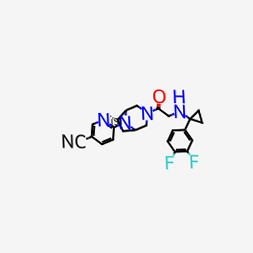 C[C@H]1CC2CN(C(=O)CNC3(c4ccc(F)c(F)c4)CC3)CC1N2c1ccc(C#N)cn1